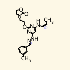 C/C=C\Nc1cc(N/N=C/c2cccc(C)c2)nc(OCCN2CCOC2=O)n1